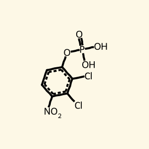 O=[N+]([O-])c1ccc(OP(=O)(O)O)c(Cl)c1Cl